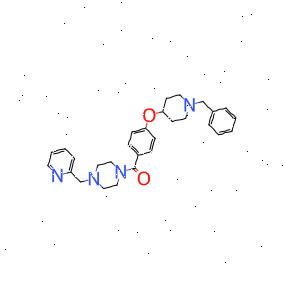 O=C(c1ccc(OC2CCN(Cc3ccccc3)CC2)cc1)N1CCN(Cc2ccccn2)CC1